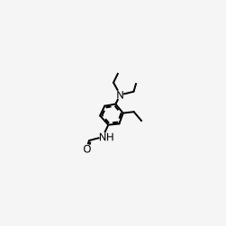 CCc1cc(NC=O)ccc1N(CC)CC